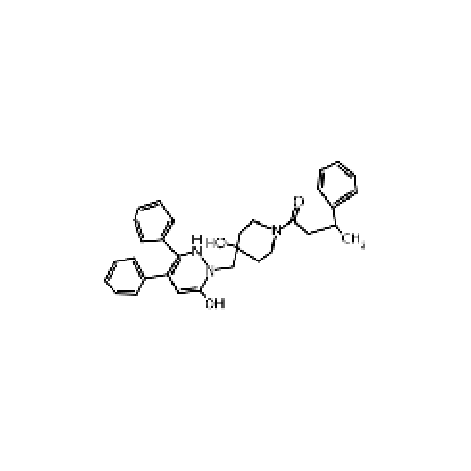 CC(CC(=O)N1CCC(O)(CN2NC(c3ccccc3)=C(c3ccccc3)C=C2O)CC1)c1ccccc1